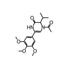 COc1cc(C2=CN(C(C)=O)C(C(C)C)C(=O)N2)cc(OC)c1OC